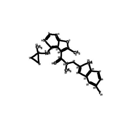 Cc1oc2ncnc(NC3(C)CC3)c2c1C(=O)N(C)Cc1cc2cc(F)ccc2[nH]1